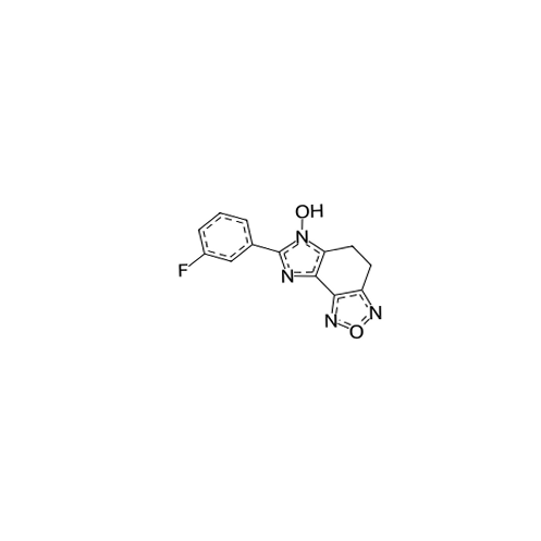 On1c(-c2cccc(F)c2)nc2c1CCc1nonc1-2